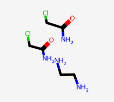 NC(=O)CCl.NC(=O)CCl.NCCN